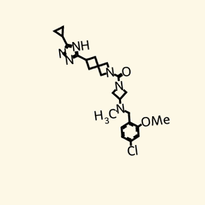 COc1cc(Cl)ccc1CN(C)C1CN(C(=O)N2CC3(CC(c4nnc(C5CC5)[nH]4)C3)C2)C1